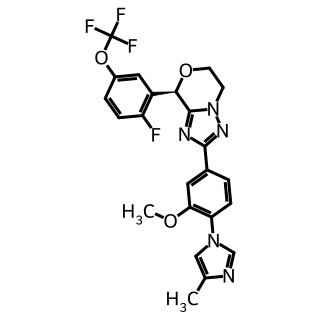 COc1cc(-c2nc3n(n2)CCO[C@@H]3c2cc(OC(F)(F)F)ccc2F)ccc1-n1cnc(C)c1